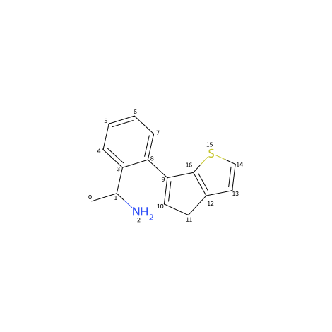 CC(N)c1ccccc1C1=CCc2ccsc21